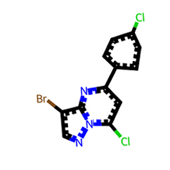 Clc1ccc(-c2cc(Cl)n3ncc(Br)c3n2)cc1